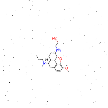 CCCN(C)[C@H]1Cc2ccc(OC)c3c2C2C(O3)C(NCCO)CC[C@@H]21